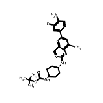 Cc1cc(-c2ccc(N)c(F)c2)nc2cnc(N[C@H]3CC[C@H](NC(=O)OC(C)(C)C)CC3)nc12